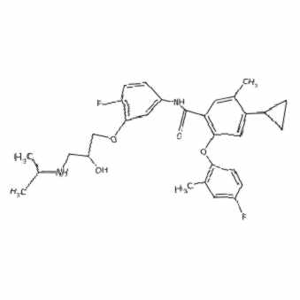 Cc1cc(F)ccc1Oc1cc(C2CC2)c(C)cc1C(=O)Nc1ccc(F)c(OCC(O)CNC(C)C)c1